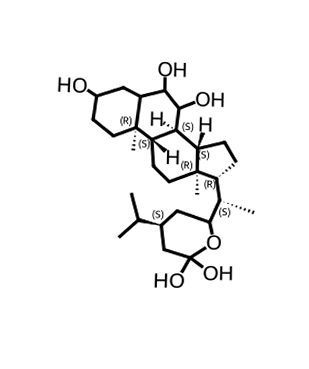 CC(C)[C@H]1CC([C@@H](C)[C@H]2CC[C@H]3[C@@H]4C(O)C(O)C5CC(O)CC[C@]5(C)[C@H]4CC[C@]23C)OC(O)(O)C1